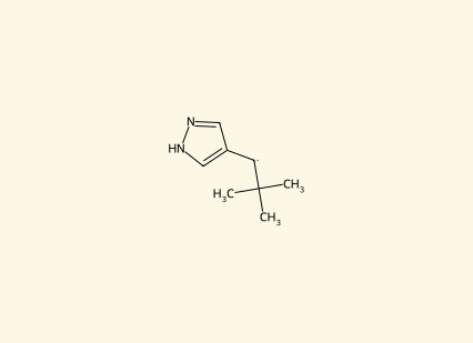 CC(C)(C)[CH]c1cn[nH]c1